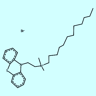 CCCCCCCCCCCC[N+](C)(C)CCN1c2ccccc2Sc2ccccc21.[Br-]